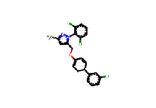 FC(F)(F)c1cc(COC2=CCC(c3cccc(Cl)c3)C=C2)n(-c2c(Cl)cccc2Cl)n1